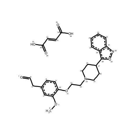 COc1cc(CC=O)ccc1OCCN1CCC(c2onc3ccccc23)CC1.O=C(O)/C=C/C(=O)O